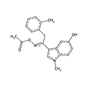 CC(=O)O/N=C(\Cc1ccccc1C)c1cn(C)c2ccc(O)cc12